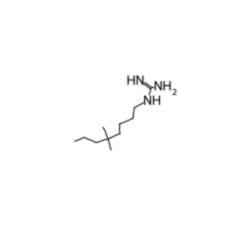 CCCC(C)(C)CCCCNC(=N)N